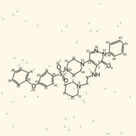 O=c1c(NCCN2CCCCC2)c(N2CCN(S(=O)(=O)c3ccc(Oc4ccccc4)cc3)CC2)cnn1-c1ccccc1